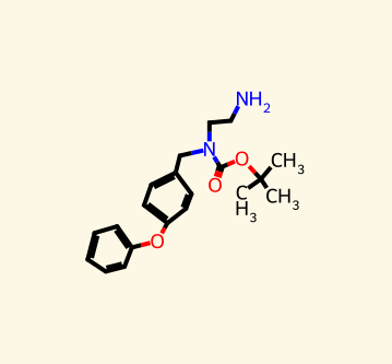 CC(C)(C)OC(=O)N(CCN)Cc1ccc(Oc2ccccc2)cc1